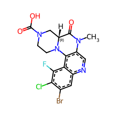 CN1C(=O)[C@H]2CN(C(=O)O)CCN2c2c1cnc1cc(Br)c(Cl)c(F)c21